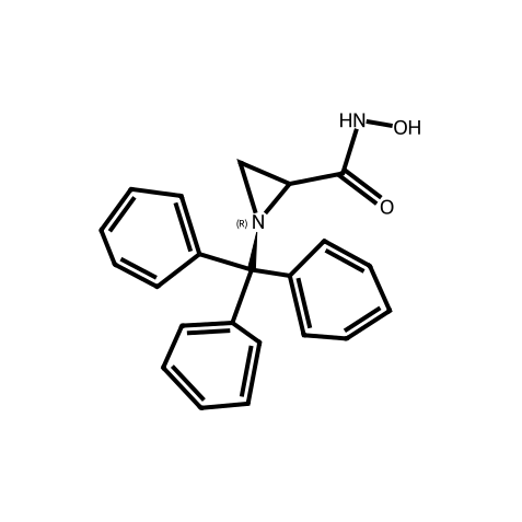 O=C(NO)C1C[N@]1C(c1ccccc1)(c1ccccc1)c1ccccc1